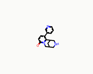 O=c1ccc(-c2cccnc2)c2n1CC1CNCC2C1